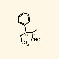 C[C@H](C=O)[C@@H](C[N+](=O)[O-])c1ccccc1